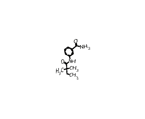 CCC(C)(C)C(=O)Nc1cccc(C(N)=O)c1